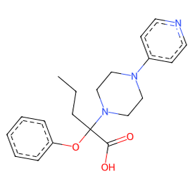 CCCC(Oc1ccccc1)(C(=O)O)N1CCN(c2ccncc2)CC1